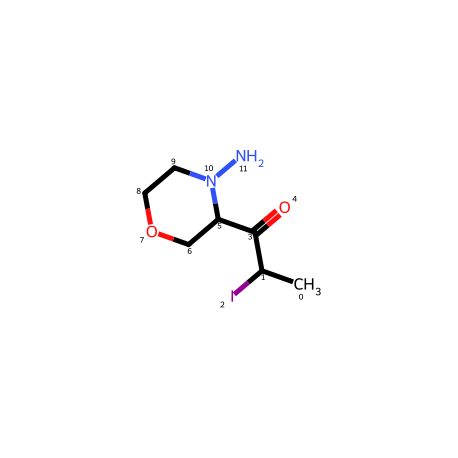 CC(I)C(=O)C1COCCN1N